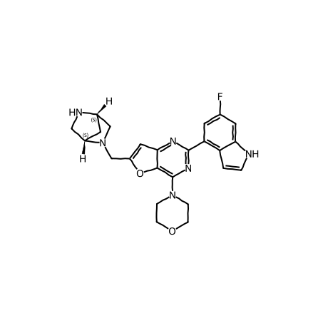 Fc1cc(-c2nc(N3CCOCC3)c3oc(CN4C[C@@H]5C[C@H]4CN5)cc3n2)c2cc[nH]c2c1